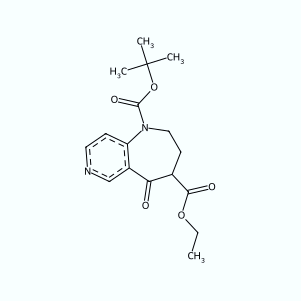 CCOC(=O)C1CCN(C(=O)OC(C)(C)C)c2ccncc2C1=O